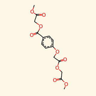 COC(=O)COC(=O)COc1ccc(C(=O)OCC(=O)OC)cc1